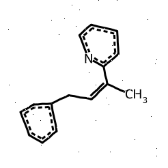 CC(=CCc1ccccc1)c1ccccn1